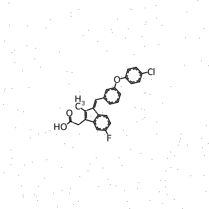 CC1=C(CC(=O)O)c2cc(F)ccc2/C1=C\c1cccc(Oc2ccc(Cl)cc2)c1